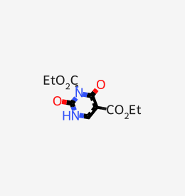 CCOC(=O)c1c[nH]c(=O)n(C(=O)OCC)c1=O